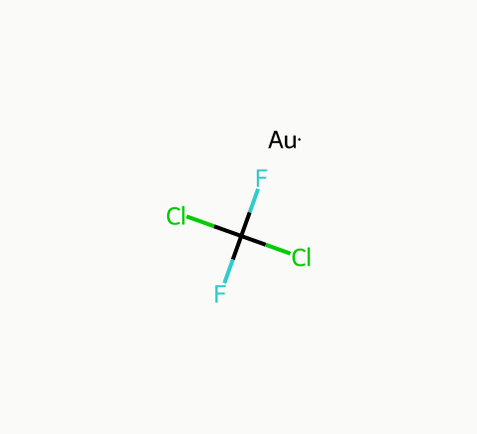 FC(F)(Cl)Cl.[Au]